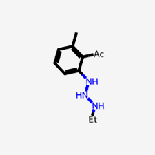 CCNNNc1cccc(C)c1C(C)=O